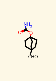 NC(=O)OC12CCC(C=O)(CC1)CC2